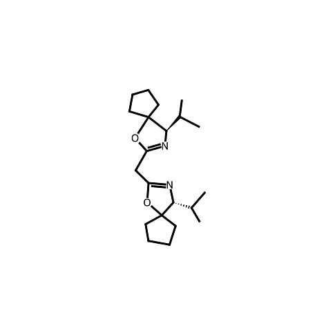 CC(C)[C@H]1N=C(CC2=N[C@H](C(C)C)C3(CCCC3)O2)OC12CCCC2